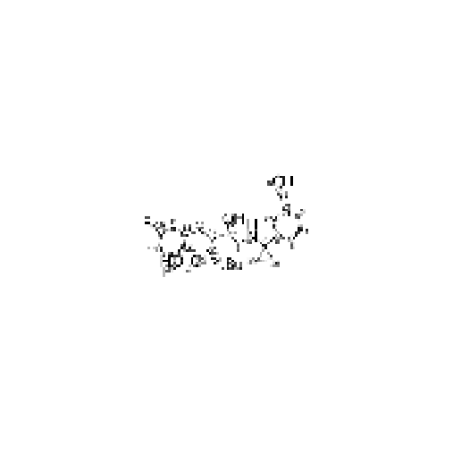 C#Cc1cccc(C2(NC[C@H](O)[C@H](Cc3cc(F)cc(F)c3)N(C(=O)O)C(C)(C)C)CC2)c1